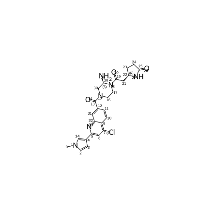 Cn1ccc(-c2cc(Cl)c3ccc(C(=O)N4CCN(C(=O)C[C@H]5CCC(=O)N5)[C@H](N)C4)cc3n2)c1